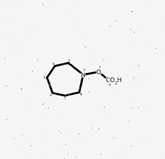 O=C(O)ON1CCCCCC1